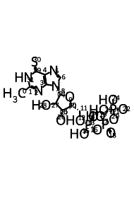 Cc1nc2c(ncn2[C@@H]2O[C@H](COP(=O)(O)OP(=O)(O)OP(=O)(O)O)[C@H](O)C2O)c(=S)[nH]1